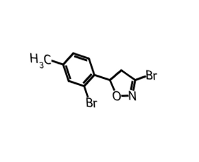 Cc1ccc(C2CC(Br)=NO2)c(Br)c1